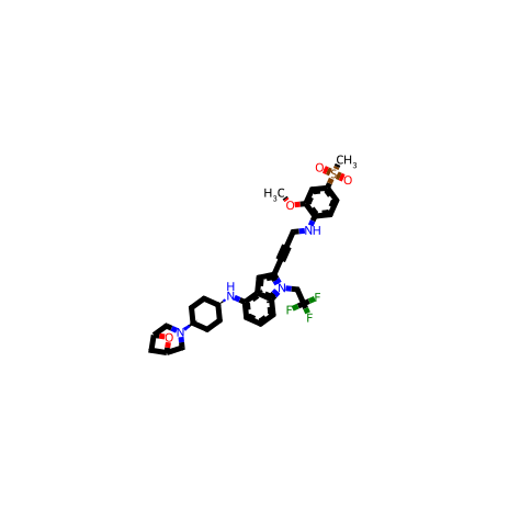 COc1cc(S(C)(=O)=O)ccc1NCC#Cc1cc2c(N[C@H]3CC[C@H](N4CC5CC(C4)O5)CC3)cccc2n1CC(F)(F)F